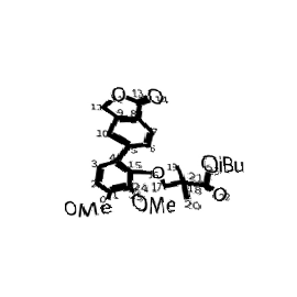 COc1ccc(-c2ccc3c(c2)COC3=O)c(OCC(C)(C)C(=O)OCC(C)C)c1OC